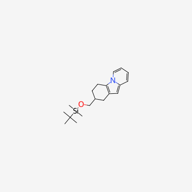 CC(C)(C)[Si](C)(C)OCC1CCc2c(cc3ccccn23)C1